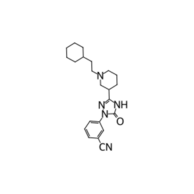 N#Cc1cccc(-n2nc(C3CCCN(CCC4CCCCC4)C3)[nH]c2=O)c1